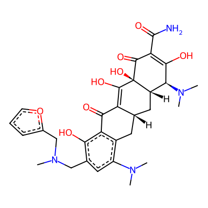 CN(Cc1ccco1)Cc1cc(N(C)C)c2c(c1O)C(=O)C1=C(O)[C@]3(O)C(=O)C(C(N)=O)=C(O)[C@@H](N(C)C)[C@@H]3C[C@@H]1C2